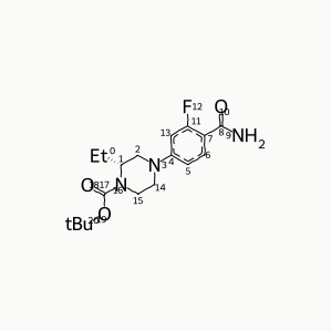 CC[C@@H]1CN(c2ccc(C(N)=O)c(F)c2)CCN1C(=O)OC(C)(C)C